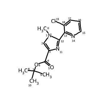 Cn1cc(C(=O)OC(C)(C)C)nc1-c1ncccc1Cl